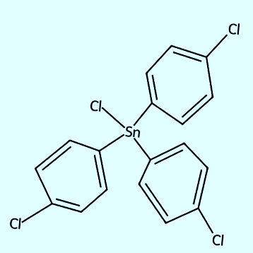 Clc1cc[c]([Sn]([Cl])([c]2ccc(Cl)cc2)[c]2ccc(Cl)cc2)cc1